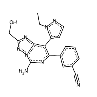 CCn1nccc1-c1c(-c2cccc(C#N)c2)nc(N)n2nc(CO)nc12